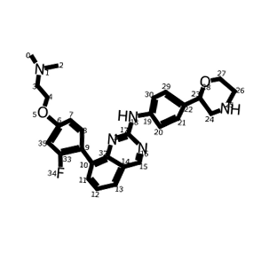 CN(C)CCOc1ccc(-c2cccc3cnc(Nc4ccc(C5CNCCO5)cc4)nc23)c(F)c1